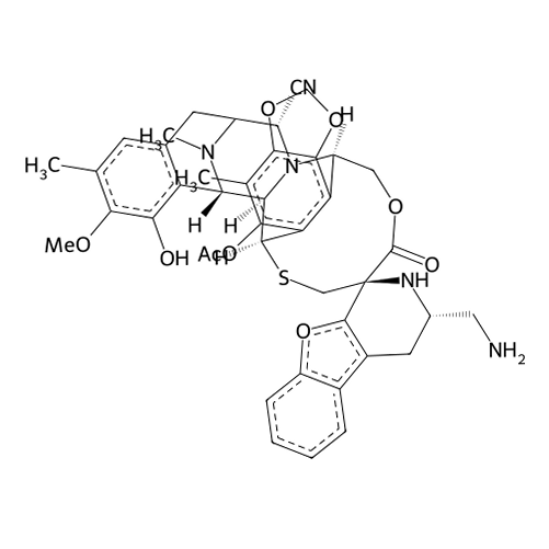 COc1c(C)cc2c(c1O)[C@H]1[C@@H]3[C@@H]4SC[C@]5(N[C@H](CN)Cc6c5oc5ccccc65)C(=O)OC[C@@H](c5c6c(c(C)c(OC(C)=O)c54)OCO6)N3[C@@H](C#N)C(C2)N1C